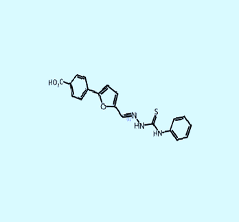 O=C(O)c1ccc(-c2ccc(/C=N/NC(=S)Nc3ccccc3)o2)cc1